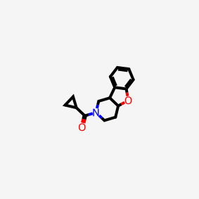 O=C(C1CC1)N1CCC2Oc3ccccc3C2C1